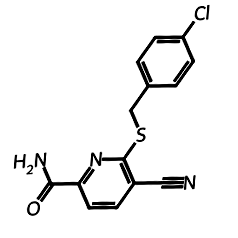 N#Cc1ccc(C(N)=O)nc1SCc1ccc(Cl)cc1